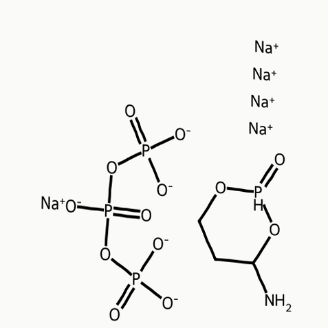 NC1CCO[PH](=O)O1.O=P([O-])([O-])OP(=O)([O-])OP(=O)([O-])[O-].[Na+].[Na+].[Na+].[Na+].[Na+]